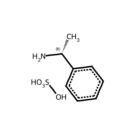 C[C@@H](N)c1ccccc1.O=S(=O)(O)O